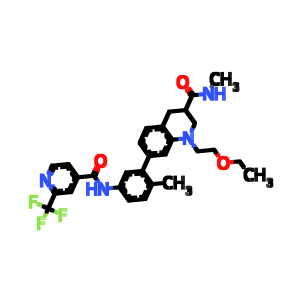 CCOCCN1CC(C(=O)NC)Cc2ccc(-c3cc(NC(=O)c4ccnc(C(F)(F)F)c4)ccc3C)cc21